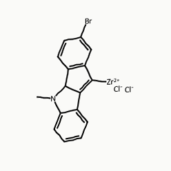 CN1c2ccccc2C2=[C]([Zr+2])c3cc(Br)ccc3C21.[Cl-].[Cl-]